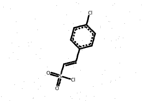 O=S(=O)(Cl)C=Cc1ccc(Cl)cc1